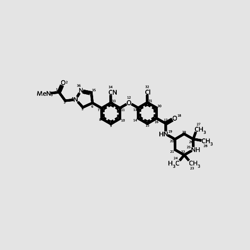 CNC(=O)CN1CC(c2cccc(Oc3ccc(C(=O)NC4CC(C)(C)NC(C)(C)C4)cc3Cl)c2C#N)C=N1